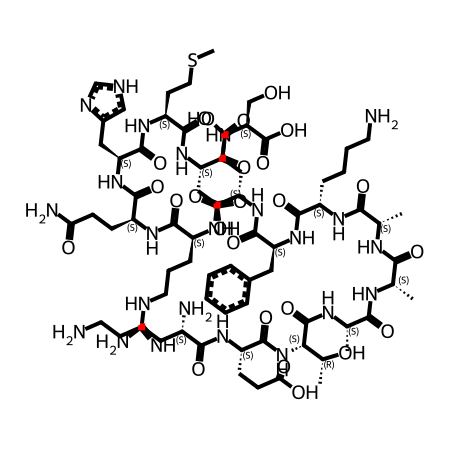 CSCC[C@H](NC(=O)[C@H](Cc1c[nH]cn1)NC(=O)[C@H](CCC(N)=O)NC(=O)[C@H](CCCNC(=N)N)NC(=O)[C@H](CCC(=O)O)NC(=O)[C@H](Cc1ccccc1)NC(=O)[C@H](CCCCN)NC(=O)[C@H](C)NC(=O)[C@H](C)NC(=O)[C@H](C)NC(=O)[C@@H](NC(=O)[C@H](CCC(=O)O)NC(=O)[C@@H](N)CCCCN)[C@@H](C)O)C(=O)N[C@@H](CC(=O)O)C(=O)N[C@@H](CO)C(=O)O